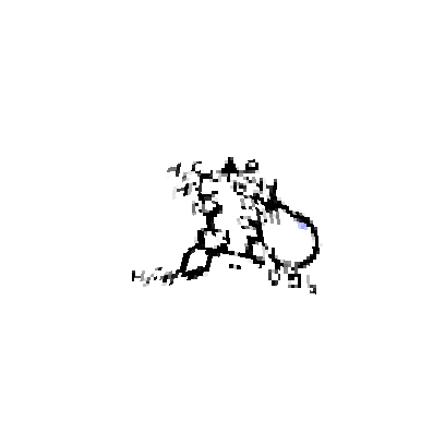 COc1ccc2c(OC3CC4C(=O)NC5(C(=O)NS(=O)(=O)C6CC6)CC5/C=C/CCCCN(C)C(=O)N4C3)nc(-c3csc(NC(C)C)n3)cc2c1